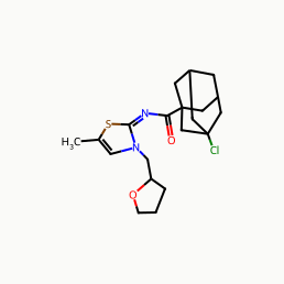 Cc1cn(CC2CCCO2)c(=NC(=O)C23CC4CC(CC(Cl)(C4)C2)C3)s1